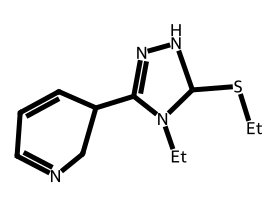 CCSC1NN=C(C2C=CC=NC2)N1CC